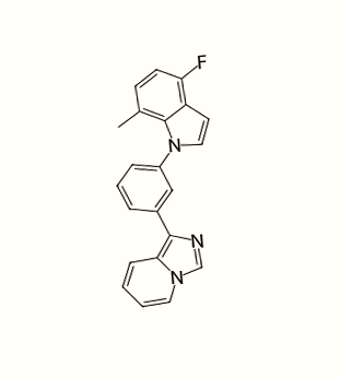 Cc1ccc(F)c2ccn(-c3cccc(-c4ncn5ccccc45)c3)c12